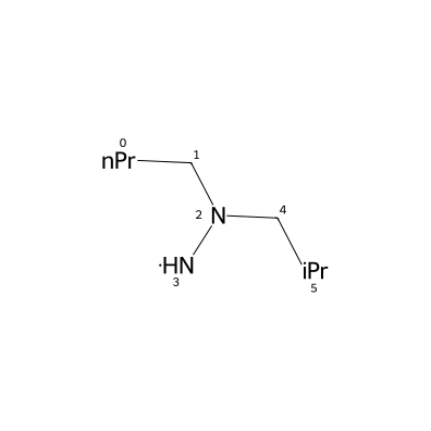 CCCCN([NH])CC(C)C